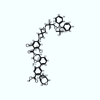 COC(=O)c1cc(F)c(-c2cccc3c2OCN(C(=O)c2c(Cl)cc(N4CC5(CN(CC(F)(F)CO[Si](c6ccccc6)(c6ccccc6)C(C)(C)C)C5)C4)cc2Cl)C3)cc1N1C2CCC1COC2